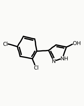 Oc1cc(-c2ccc(Cl)cc2Cl)n[nH]1